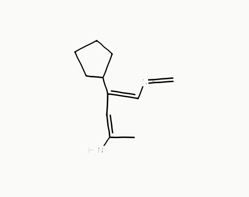 C=N/C=C(/C=C(\C)N)C1CCCC1